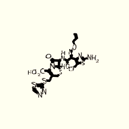 C=CCON=C(C(=O)NC1C(=O)N2C(C(=O)O)=C(CSc3nncs3)CS[C@@H]12)c1nc(N)sc1Cl